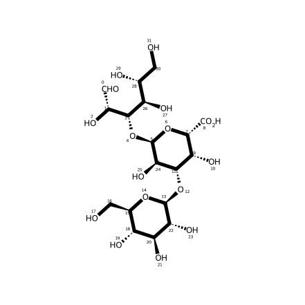 O=C[C@@H](O)[C@@H](O[C@H]1O[C@H](C(=O)O)[C@H](O)[C@H](O[C@@H]2O[C@H](CO)[C@@H](O)[C@H](O)[C@H]2O)[C@H]1O)[C@H](O)[C@H](O)CO